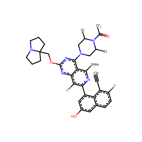 C#Cc1c(F)ccc2cc(O)cc(-c3nc(NC)c4c(N5CC(CC)N(C(=O)C(F)(F)F)C(CC)C5)nc(OCC56CCCN5CCC6)nc4c3F)c12